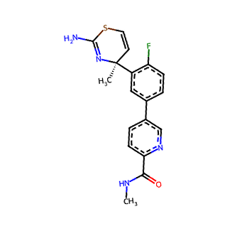 CNC(=O)c1ccc(-c2ccc(F)c([C@]3(C)C=CSC(N)=N3)c2)cn1